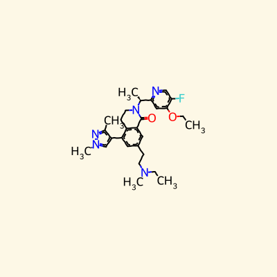 CCOc1cc([C@H](C)N2CCc3c(cc(CCN(C)CC)cc3-c3cn(C)nc3C)C2=O)ncc1F